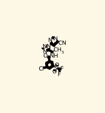 C[C@H](NC(=O)c1cc(Cl)cc(S(=O)(=O)C(F)F)c1)c1ncnn1-c1cc(C#N)ncn1